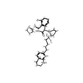 O=C(O)C(c1cccc(F)c1CO[C@@H]1CCCO1)N1CCC[C@@H]1C(F)(F)CCCCc1ccc2c(n1)NCCC2